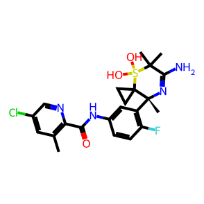 Cc1cc(Cl)cnc1C(=O)Nc1ccc(F)c([C@@]2(C)N=C(N)C(C)(C)S(O)(O)C23CC3)c1